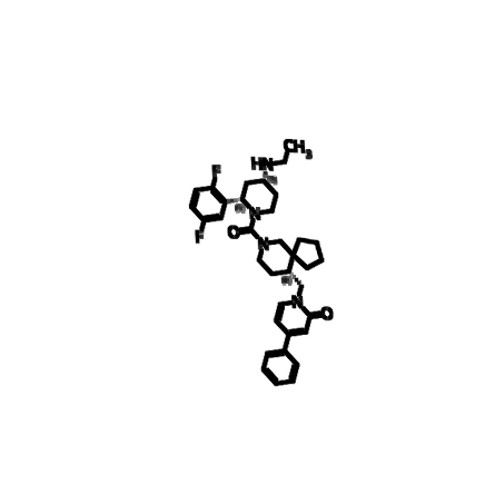 CCN[C@@H]1CCN(C(=O)N2CC[C@@H](Cn3ccc(-c4ccccc4)cc3=O)C3(CCCC3)C2)[C@H](c2cc(F)ccc2F)C1